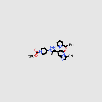 Cc1c(-c2cc(OC(c3ccccn3)C(C)(C)C)n3c(C#N)cnc3c2)nnn1C1CCN(C(=O)OC(C)(C)C)CC1